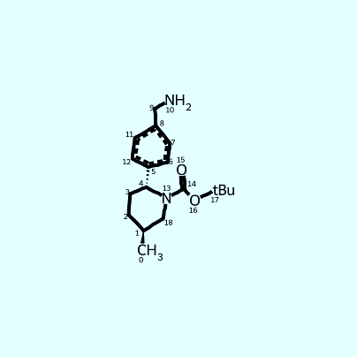 C[C@H]1CC[C@H](c2ccc(CN)cc2)N(C(=O)OC(C)(C)C)C1